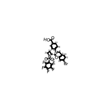 O=C(O)c1ccc(N(Cc2ccc(Br)cc2)C(=O)[C@H]2CCN2S(=O)(=O)c2c(F)c(F)c(F)c(F)c2F)cc1